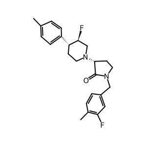 Cc1ccc([C@H]2CCN([C@@H]3CCN(Cc4ccc(C)c(F)c4)C3=O)C[C@@H]2F)cc1